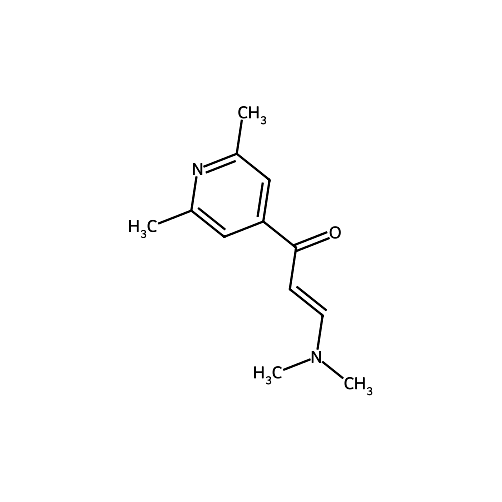 Cc1cc(C(=O)C=CN(C)C)cc(C)n1